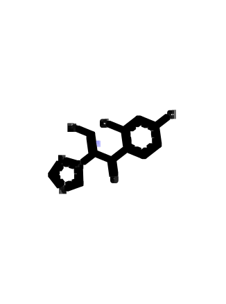 CC/C=C(/C(=O)c1ccc(Cl)cc1Cl)n1cncn1